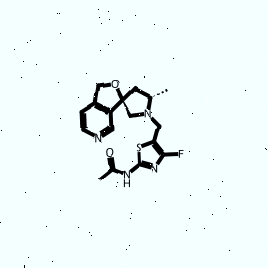 CC(=O)Nc1nc(F)c(CN2C[C@]3(C[C@@H]2C)OCc2ccncc23)s1